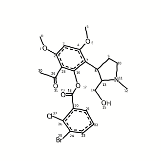 COc1cc(OC)c(C2CCN(C)C2CO)c(OC(=O)c2cccc(Br)c2Cl)c1C(C)=O